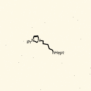 CCCCCCCCCCCCN1C=CN(C(C)C)C1